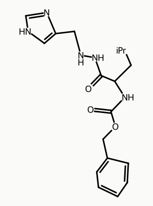 CC(C)CC(NC(=O)OCc1ccccc1)C(=O)NNCc1c[nH]cn1